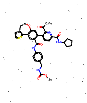 COC(=O)c1nc(C(=O)NC2CCCC2)ccc1-c1cc2c(cc1C(=O)Nc1ccc(CNC(=O)OC(C)(C)C)cc1)-c1sccc1CCO2